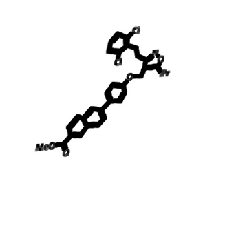 COC(=O)c1ccc2cc(-c3ccc(OCc4c(CCc5c(Cl)cccc5Cl)noc4C(C)C)cc3)ccc2c1